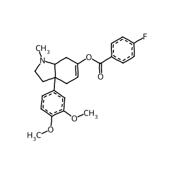 COc1ccc(C23CC=C(OC(=O)c4ccc(F)cc4)CC2N(C)CC3)cc1OC